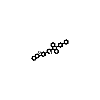 c1ccc(-c2ccc(-c3c4ccccc4c(-c4ccc(-c5ccc6c(c5)oc5cc7ccccc7cc56)cn4)c4ccccc34)cc2)cc1